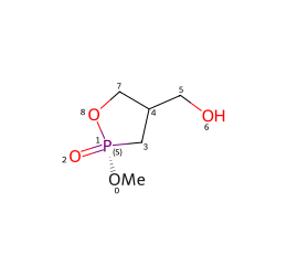 CO[P@@]1(=O)CC(CO)CO1